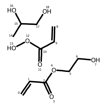 C=CC(=O)OCCO.C=CC(=O)OO.CC(O)CO